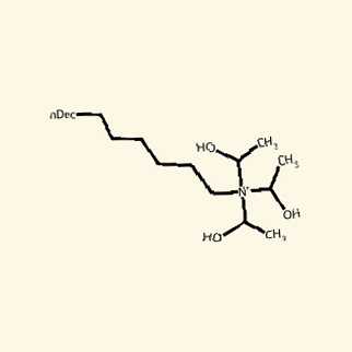 CCCCCCCCCCCCCCCC[N+](C(C)O)(C(C)O)C(C)O